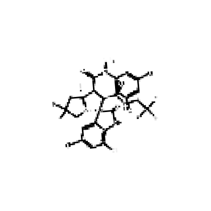 CN(C(=O)C1[C@@H](C(=O)NCC(F)(F)F)[C@]2(C(=O)Nc3c(Cl)cc(Cl)cc32)N2CC(F)(F)C[C@@H]12)c1cc(Cl)cc(Cl)c1